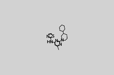 Cc1cc(Nc2nccs2)nc(N2CCCC(C3CCCCC3)C2)n1